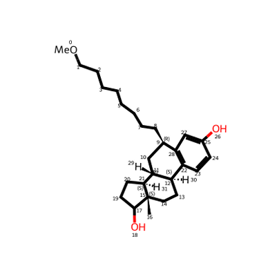 COCCCCCCCC[C@@H]1C[C@@H]2[C@H](CC[C@]3(C)C(O)CC[C@@H]23)c2ccc(O)cc21